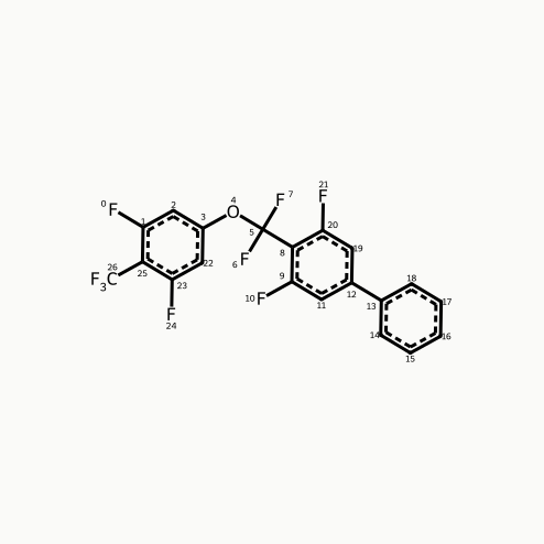 Fc1cc(OC(F)(F)c2c(F)cc(-c3ccccc3)cc2F)cc(F)c1C(F)(F)F